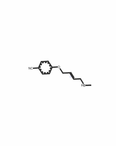 CBC/C=C/COc1ccc(C#N)cc1